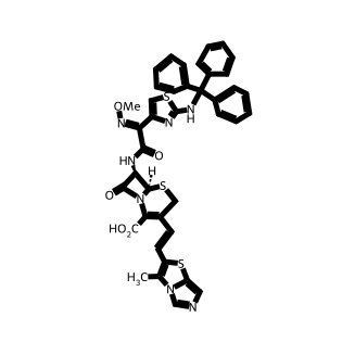 CON=C(C(=O)N[C@@H]1C(=O)N2C(C(=O)O)=C(C=Cc3sc4cncn4c3C)CS[C@H]12)c1csc(NC(c2ccccc2)(c2ccccc2)c2ccccc2)n1